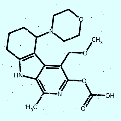 COCc1c(OC(=O)O)nc(C)c2[nH]c3c(c12)C(N1CCOCC1)CCC3